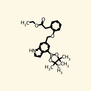 CCOC(=O)Cc1ccccc1OCc1cc(B2OC(C)(C)C(C)(C)O2)c2cc[nH]c2c1